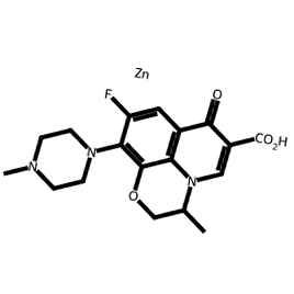 CC1COc2c(N3CCN(C)CC3)c(F)cc3c(=O)c(C(=O)O)cn1c23.[Zn]